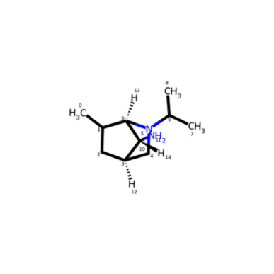 CC1C[C@@H]2CN(C(C)C)[C@H]1[C@@H]2N